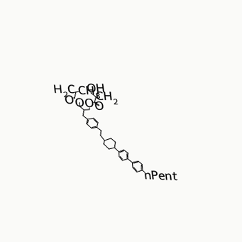 C=C(C)C(=O)OCC(COC(=O)C(=C)CO)Cc1ccc(CCC2CCC(c3ccc(-c4ccc(CCCCC)cc4)cc3)CC2)cc1